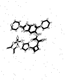 CCOP(=O)(OCC)O[C@H]1CCN(C2=CCC2C(=N)C(=O)Nc2cc3sc(N4CCOCC4)nc3nc2N2CCCCC2)C1